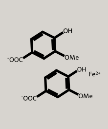 COc1cc(C(=O)[O-])ccc1O.COc1cc(C(=O)[O-])ccc1O.[Fe+2]